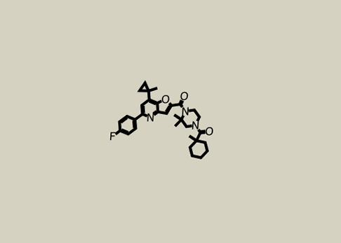 CC1(C(=O)N2CCN(C(=O)c3cc4nc(-c5ccc(F)cc5)cc(C5(C)CC5)c4o3)C(C)(C)C2)CCCCC1